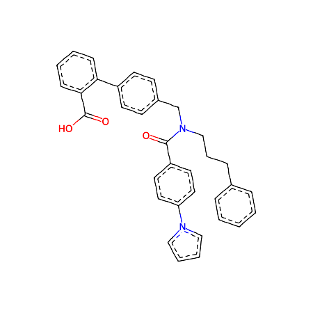 O=C(O)c1ccccc1-c1ccc(CN(CCCc2ccccc2)C(=O)c2ccc(-n3cccc3)cc2)cc1